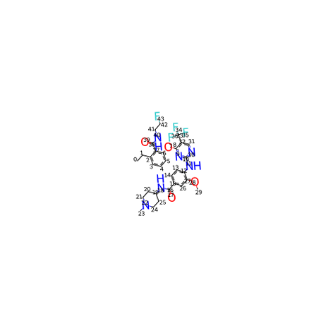 CCc1cccc(Oc2nc(Nc3ccc(C(=O)NC4CCN(C)CC4)cc3OC)ncc2C(F)(F)F)c1C(=O)NCCF